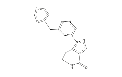 O=C1NCCc2c1cnn2-c1cncc(Cc2ccccc2)c1